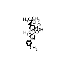 Cc1cccc(N2CCN(C(=O)[C@@H]3[C@@H](C(=O)O)CC4(CC4C(C)(C)C)CN3C)CC2)c1